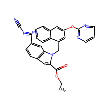 CCOC(=O)c1cc2ccc(/C(N)=N/C#N)cc2n1Cc1cc(Oc2ncccn2)cc2ccccc12